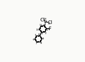 Fc1cc(-c2ccccc2)ccc1P(Cl)Cl